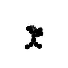 CC1(C)c2ccccc2-c2ccc(N(c3ccc(-c4ccc(N(c5ccc(-c6ccccc6)cc5)c5ccc(-c6ccccc6)cc5)cc4)cc3)c3ccc4c(c3)C(c3ccccc3)(c3ccccc3)c3ccccc3-4)cc21